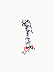 CC(=O)CC(O)CC(C)(C)C(=O)/C=C/C(C)=C/C=C/C(C)=C/C=C/C=C(C)/C=C/C=C(C)/C=C/C1=C(C)CCCC1(C)C